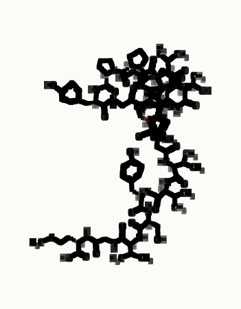 CSCC[C@H](NC(=O)CNC(=O)[C@@H](NC(=O)[C@H](CO)NC(=O)[C@H](Cc1ccc(O)cc1)NC(=O)[C@@H](NC(=O)[C@@H](NC(=O)CNC(=O)[C@H](CO)NC(=O)[C@H](CC(=O)O)NC(=O)[C@@H](NC(=O)[C@@H](NC(=O)[C@H](CS)NC(=O)[C@H](Cc1c[nH]cn1)NC(=O)CNC(=O)[C@H](Cc1ccc(O)cc1)NC(=O)[C@@H]1CCCN1C(=O)[C@@H]1CCCN1C(=O)[C@@H]1CCCN1C(=O)[C@@H](N)CCC(N)=O)C(C)C)[C@@H](C)O)C(C)C)C(C)C)C(C)C)C(=O)O